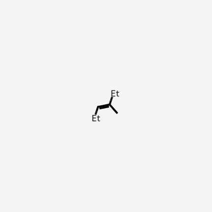 [CH2]CC=C(C)C[CH2]